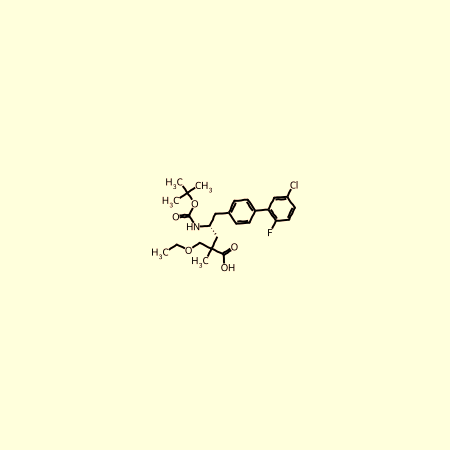 CCOCC(C)(C[C@@H](Cc1ccc(-c2cc(Cl)ccc2F)cc1)NC(=O)OC(C)(C)C)C(=O)O